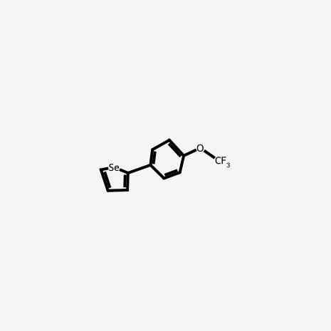 FC(F)(F)Oc1ccc(-c2ccc[se]2)cc1